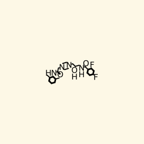 Cc1cccc(C)c1NC(=O)CN1CCN(CC(O)CNC(=O)c2ccc(F)cc2F)CC1